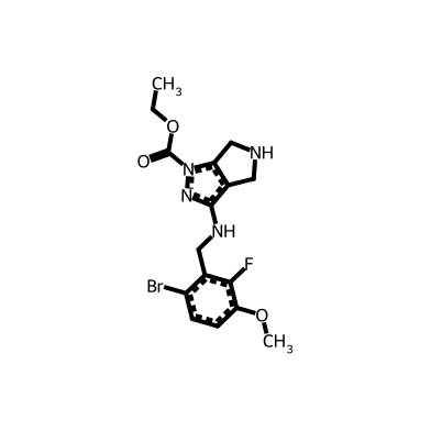 CCOC(=O)n1nc(NCc2c(Br)ccc(OC)c2F)c2c1CNC2